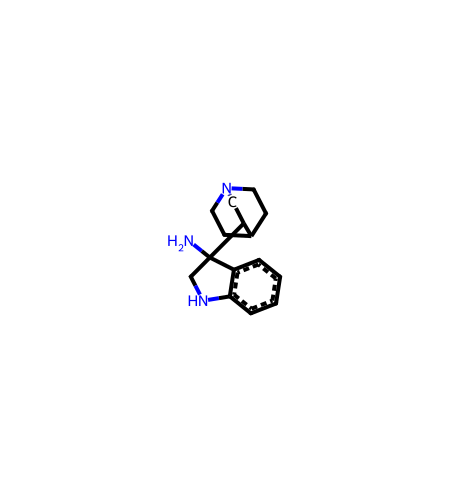 NC1(C2CN3CCC2CC3)CNc2ccccc21